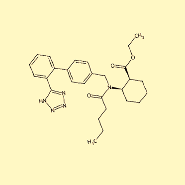 CCCCC(=O)N(Cc1ccc(-c2ccccc2-c2nnn[nH]2)cc1)[C@@H]1CCCC[C@@H]1C(=O)OCC